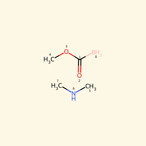 BC(=O)OC.CNC